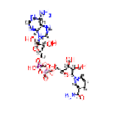 NC(=O)C1=CN(C2OC(COP(=O)(O)OP(=O)(O)OCC3O[C@](O)(n4cnc5c(N)ncnc54)[C@@H]3O)C(O)C2O)C=CC1